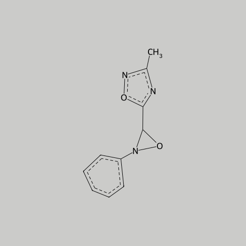 Cc1noc(C2ON2c2ccccc2)n1